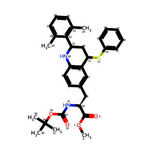 COC(=O)[C@H](Cc1ccc2c(c1)C(Sc1ccccc1)CC(c1c(C)cccc1C)N2)NC(=O)OC(C)(C)C